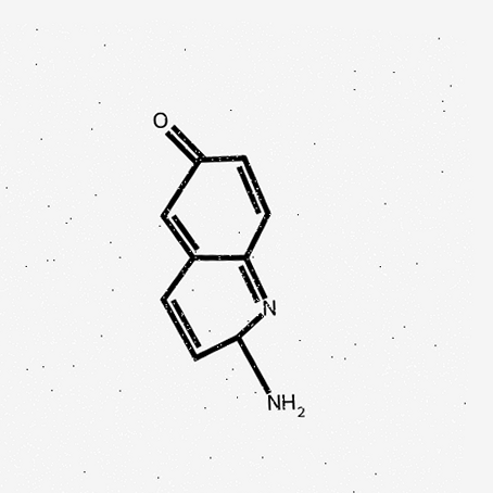 NC1C=CC2=CC(=O)C=CC2=N1